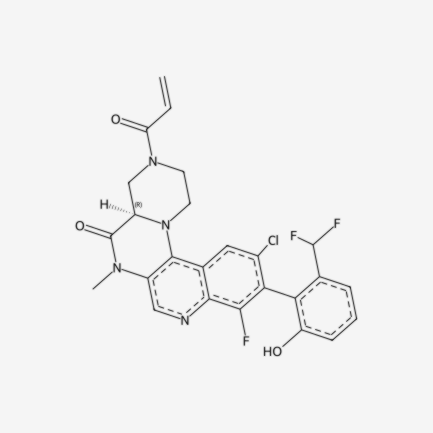 C=CC(=O)N1CCN2c3c(cnc4c(F)c(-c5c(O)cccc5C(F)F)c(Cl)cc34)N(C)C(=O)[C@H]2C1